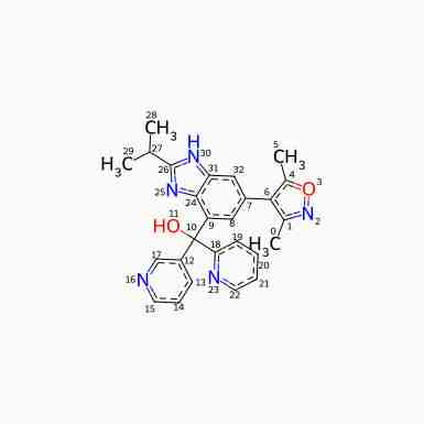 Cc1noc(C)c1-c1cc(C(O)(c2cccnc2)c2ccccn2)c2nc(C(C)C)[nH]c2c1